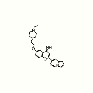 CCN1CCN(CCOc2ccc3oc(-c4cc5cccn5cn4)cc(=N)c3c2)CC1